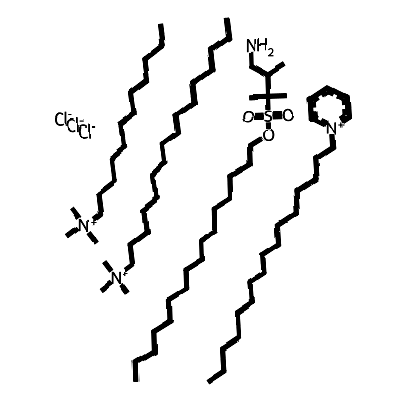 CCCCCCCCCCCCCCCCOS(=O)(=O)C(C)(C)C(C)CN.CCCCCCCCCCCCCCCC[N+](C)(C)C.CCCCCCCCCCCCCCCC[n+]1ccccc1.CCCCCCCCCCCC[N+](C)(C)C.[Cl-].[Cl-].[Cl-]